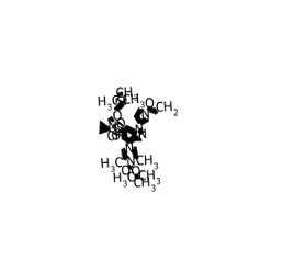 C=CC(=O)N1CCC(n2ncc3c(N4C[C@@H](C)N(C(=O)OC(C)(C)C)[C@@H](C)C4)cc(S(=O)(=O)N(COCC[Si](C)(C)C)C4(C)CC4)cc32)C1